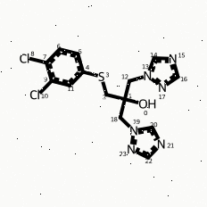 OC(CSc1ccc(Cl)c(Cl)c1)(Cn1cncn1)Cn1cncn1